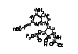 CCCCC#Cc1nc(N)c2ncn(C3C[C@H](NC(=O)CC)[C@@H](O)C3OC(=O)C(F)(F)F)c2n1